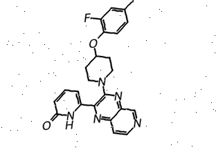 O=c1cccc(-c2nc3ccncc3nc2N2CCC(Oc3ccc(F)cc3F)CC2)[nH]1